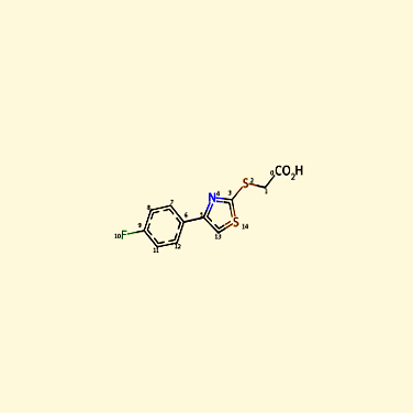 O=C(O)CSc1nc(-c2ccc(F)cc2)cs1